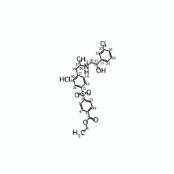 CCOC(=O)c1ccc(S(=O)(=O)c2ccc(C[C@@H](C)NC[C@@H](O)c3cccc(Cl)c3)cc2)cc1.Cl